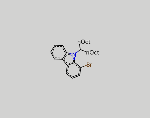 CCCCCCCCC(CCCCCCCC)n1c2ccccc2c2cccc(Br)c21